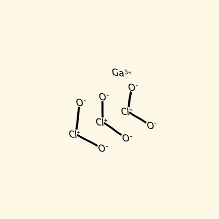 [Ga+3].[O-][Cl+][O-].[O-][Cl+][O-].[O-][Cl+][O-]